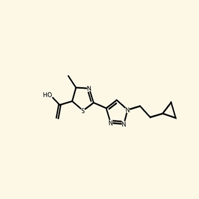 C=C(O)C1SC(c2cn(CCC3CC3)nn2)=NC1C